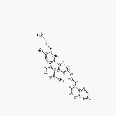 CSCCC(NC(=O)c1ccc(COCc2cccc3ccccc23)cc1-c1ccccc1C)C(=O)O